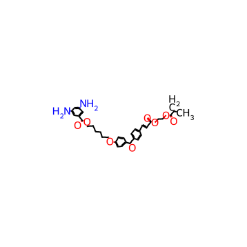 C=C(C)C(=O)OCCOC(=O)/C=C/c1ccc(C(=O)c2ccc(OCCCCCCOC(=O)c3cc(N)cc(N)c3)cc2)cc1